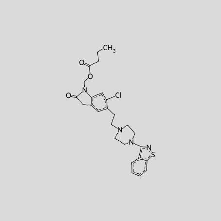 CCCC(=O)OCN1C(=O)Cc2cc(CCN3CCN(c4nsc5ccccc45)CC3)c(Cl)cc21